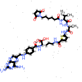 CC(C)[C@H](NC(=O)CCCCCN1C(=O)C=CC1=O)C(=O)N[C@@H](C)C(=O)Nc1ccc(C(=O)NCCC[C@H](NC(=O)c2ccc(NCc3cnc4nc(N)nc(N)c4n3)cc2)C(=O)O)s1